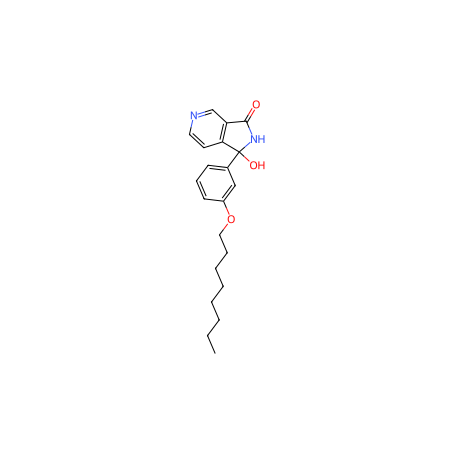 CCCCCCCCOc1cccc(C2(O)NC(=O)c3cnccc32)c1